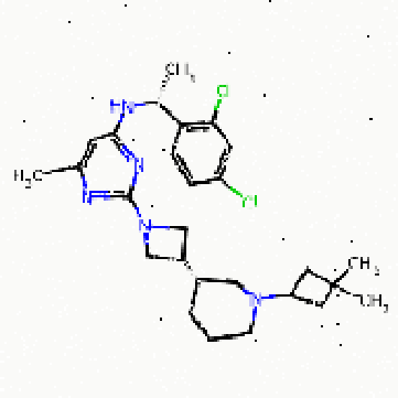 Cc1cc(N[C@H](C)c2ccc(Cl)cc2Cl)nc(N2CC([C@H]3CCCN(C4CC(C)(C)C4)C3)C2)n1